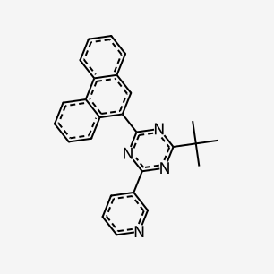 CC(C)(C)c1nc(-c2cccnc2)nc(-c2cc3ccccc3c3ccccc23)n1